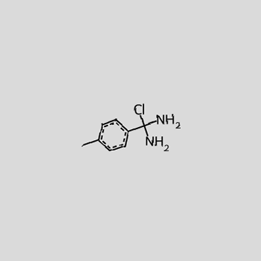 Cc1ccc(C(N)(N)Cl)cc1